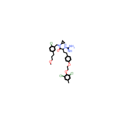 COCCCc1ccc(Cl)c(CN(C(=O)C(CCc2ccc(OCCOc3c(Cl)cc(C)cc3Cl)cc2)NC(=N)N)C2CC2)c1